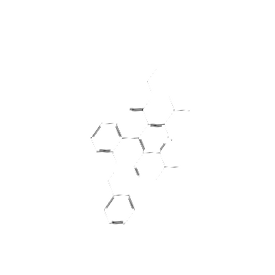 CCOC(=O)c1c(C(C)C)nc(C(C)C)c(C=O)c1-c1ccccc1OCc1ccccc1